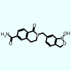 NC(=O)c1ccc2c(c1)CCN(Cc1ccc3c(c1)B(O)OC3)C2=O